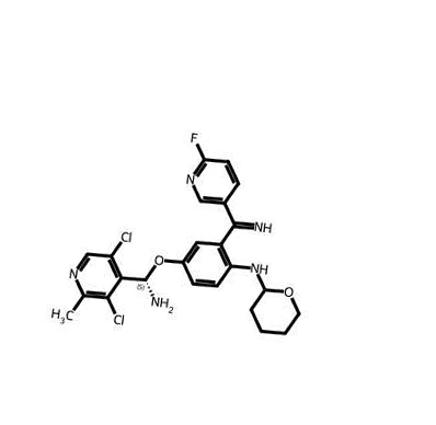 Cc1ncc(Cl)c([C@@H](N)Oc2ccc(NC3CCCCO3)c(C(=N)c3ccc(F)nc3)c2)c1Cl